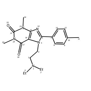 CCN(CC)CCn1c(-c2ccc(C)cc2)nc2c1c(=O)n(C)c(=O)n2C